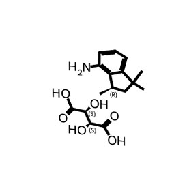 C[C@@H]1CC(C)(C)c2cccc(N)c21.O=C(O)[C@@H](O)[C@H](O)C(=O)O